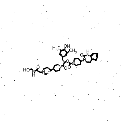 Cc1cc(C[C@@H](OC(=O)N2CCC(N3CCc4ccccc4NC3=O)CC2)C(=O)N2CCC(C3CCN(CC(=O)NCO)CC3)CC2)cc(C)c1O